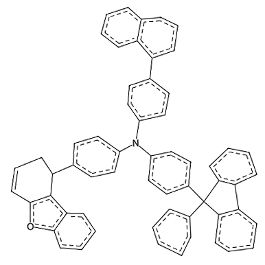 C1=Cc2oc3ccccc3c2C(c2ccc(N(c3ccc(-c4cccc5ccccc45)cc3)c3ccc(C4(c5ccccc5)c5ccccc5-c5ccccc54)cc3)cc2)C1